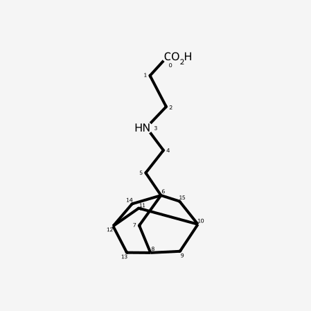 O=C(O)CCNCCC12CC3CC(CC(C3)C1)C2